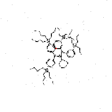 CCCC[Si](CCCC)(CCCC)c1ccc(P(c2ccc([Si](CCCC)(CCCC)CCCC)cc2)N(C2CCCCC2)P(c2cccc([Si](CCC)(CCC)CCC)c2)c2cccc([Si](CCC)(CCC)CCC)c2)cc1